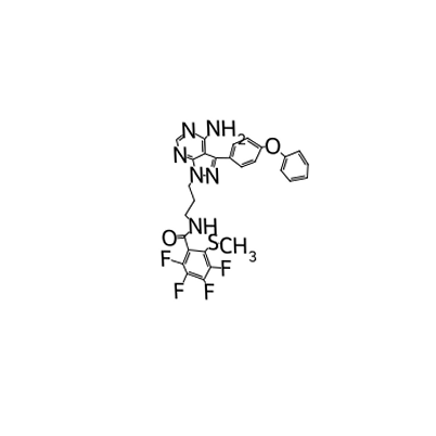 CSc1c(F)c(F)c(F)c(F)c1C(=O)NCCCn1nc(-c2ccc(Oc3ccccc3)cc2)c2c(N)ncnc21